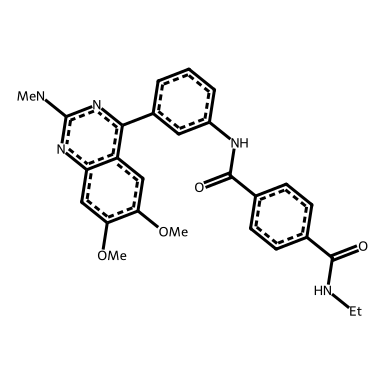 CCNC(=O)c1ccc(C(=O)Nc2cccc(-c3nc(NC)nc4cc(OC)c(OC)cc34)c2)cc1